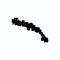 CCC1(COCCCCOc2ccc(C(=O)Oc3ccc4c(c3)C(Cl)c3cc(OC(=O)c5ccc(OC(F)(F)C(F)C(F)(F)F)cc5)ccc3-4)cc2)COC1